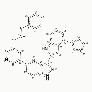 c1ccc(CNCc2cncc(-c3ccc4[nH]nc(-c5cc6c(-c7ccoc7)cccc6[nH]5)c4n3)c2)cc1